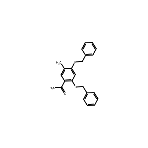 CC(=O)c1cc(C)c(OCc2ccccc2)cc1OCc1ccccc1